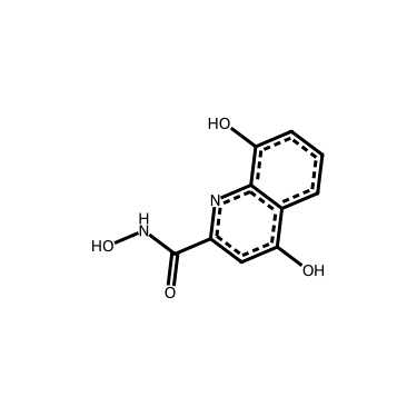 O=C(NO)c1cc(O)c2cccc(O)c2n1